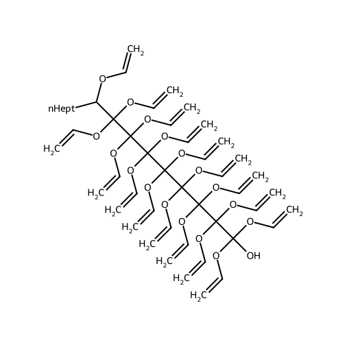 C=COC(CCCCCCC)C(OC=C)(OC=C)C(OC=C)(OC=C)C(OC=C)(OC=C)C(OC=C)(OC=C)C(OC=C)(OC=C)C(OC=C)(OC=C)C(OC=C)(OC=C)C(O)(OC=C)OC=C